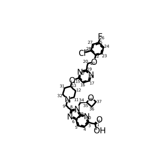 O=C(O)c1ccc2nc(CN3CCC(Oc4ccnc(COc5ccc(F)cc5Cl)n4)CC3)n(C[C@@H]3CCO3)c2n1